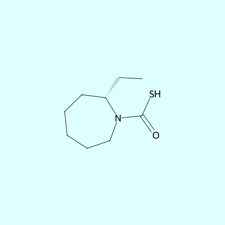 CC[C@H]1CCCCCN1C(=O)S